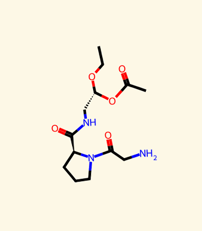 CCO[C@@H](CNC(=O)[C@@H]1CCCN1C(=O)CN)OC(C)=O